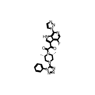 C[C@@H]1CN(c2nnnn2-c2ccccc2)C[C@H](C)N1C(=O)C(=O)c1c[nH]c2c(-n3ccnn3)ncc(F)c12